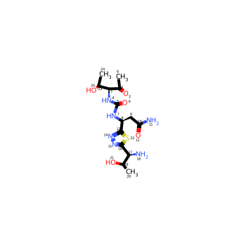 CC(=O)[C@@H](NC(=O)N[C@@H](CC(N)=O)c1nnc([C@@H](N)C(C)O)s1)C(C)O